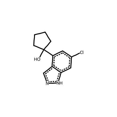 OC1(c2cc(Cl)cc3[nH]ncc23)CCCC1